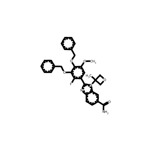 COc1cc(-c2nc3ccc(C(N)=O)cc3n2C2(C)COC2)c(F)c(OCc2ccccc2)c1OCc1ccccc1